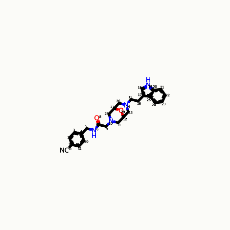 N#Cc1ccc(CNC(=O)CN2CC3CN(CCc4c[nH]c5ccccc45)CC(C2)O3)cc1